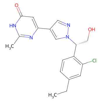 CCc1ccc([C@@H](CO)n2cc(-c3cc(=O)[nH]c(C)n3)cn2)c(Cl)c1